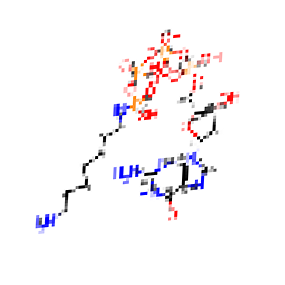 NCCCCCCCNP(=O)(O)OP(=O)(O)OP(=O)(O)OP(=O)(O)OC[C@H]1O[C@@H](n2cnc3c(=O)[nH]c(N)nc32)CC1O